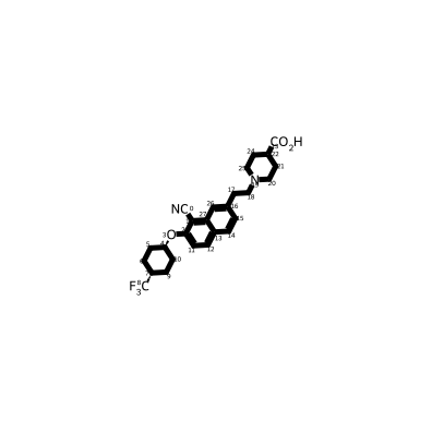 N#Cc1c(O[C@H]2CC[C@@H](C(F)(F)F)CC2)ccc2ccc(CCN3CCC(C(=O)O)CC3)cc12